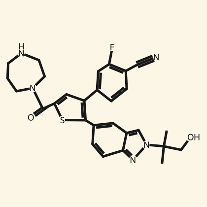 CC(C)(CO)n1cc2cc(-c3sc(C(=O)N4CCCNCC4)cc3-c3ccc(C#N)c(F)c3)ccc2n1